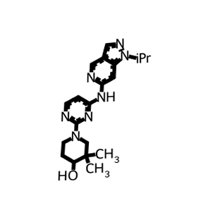 CC(C)n1ncc2cnc(Nc3ccnc(N4CCC(O)C(C)(C)C4)n3)cc21